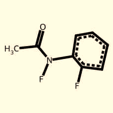 CC(=O)N(F)c1ccccc1F